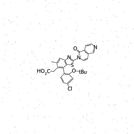 Cc1cc2nc(-n3ccc4cnccc4c3=O)sc2c(-c2ccc(Cl)cc2OC(C)(C)C)c1CC(=O)O